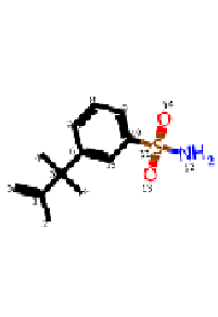 C=C(C)C(C)(C)c1cccc(S(N)(=O)=O)c1